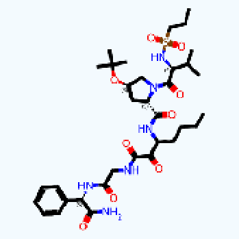 CCCCC(NC(=O)[C@@H]1C[C@@H](OC(C)(C)C)CN1C(=O)[C@@H](NS(=O)(=O)CCC)C(C)C)C(=O)C(=O)NCC(=O)N[C@H](C(N)=O)c1ccccc1